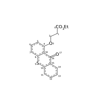 CCOC(=O)CCOc1cccc2sc3ccccc3c(=O)c12